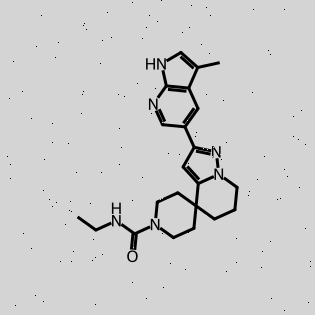 CCNC(=O)N1CCC2(CCCn3nc(-c4cnc5[nH]cc(C)c5c4)cc32)CC1